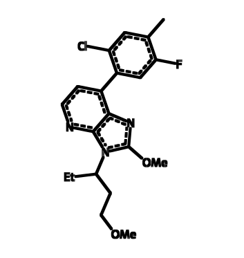 CCC(CCOC)n1c(OC)nc2c(-c3cc(F)c(C)cc3Cl)ccnc21